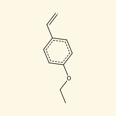 [CH]=Cc1ccc(OCC)cc1